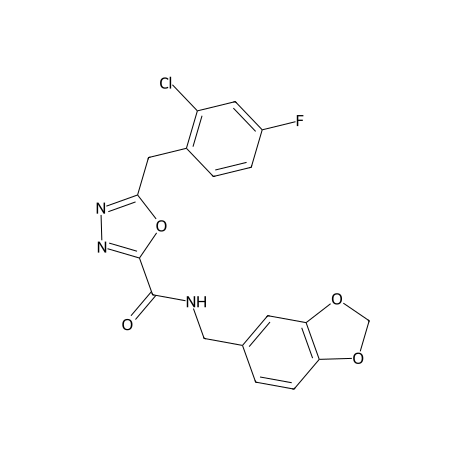 O=C(NCc1ccc2c(c1)OCO2)c1nnc(Cc2ccc(F)cc2Cl)o1